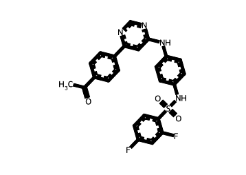 CC(=O)c1ccc(-c2cc(Nc3ccc(NS(=O)(=O)c4ccc(F)cc4F)cc3)ncn2)cc1